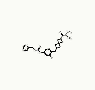 CN(C)C(=O)N1CC2(CC(Cc3ccc(NC(=O)OCc4cnco4)cc3F)C2)C1